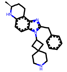 C[C@H]1CCc2c(ccc3c2nc(Cc2ccccc2)n3C2CC3(CCNCC3)C2)N1